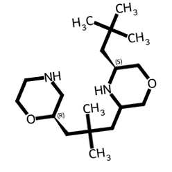 CC(C)(C)C[C@H]1COCC(CC(C)(C)C[C@@H]2CNCCO2)N1